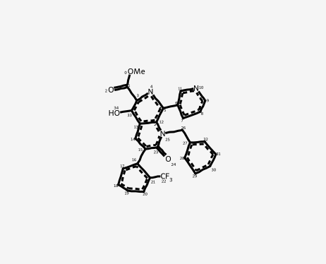 COC(=O)c1nc(-c2cccnc2)c2c(cc(-c3ccccc3C(F)(F)F)c(=O)n2Cc2ccccc2)c1O